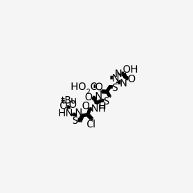 Cn1nc(O)c(=O)nc1SCC1=C(OC(=O)O)N2C(=O)C(NC(=O)C(=CCl)c3csc(NC(=O)OC(C)(C)C)n3)[C@@H]2SC1